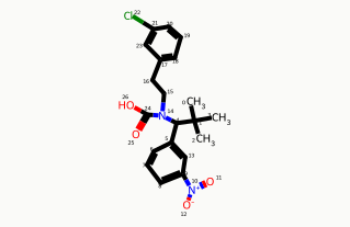 CC(C)(C)C(c1cccc([N+](=O)[O-])c1)N(CCc1cccc(Cl)c1)C(=O)O